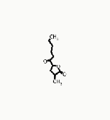 CCCCCC(=O)C1CC(C)C(=O)O1